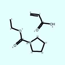 C=CC(=O)O.CCOC(=O)N1CCCC1